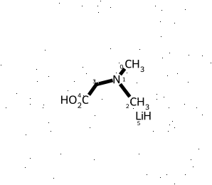 CN(C)CC(=O)O.[LiH]